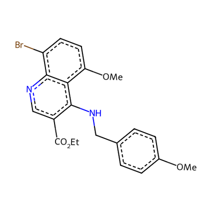 CCOC(=O)c1cnc2c(Br)ccc(OC)c2c1NCc1ccc(OC)cc1